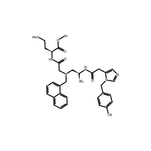 CC[C@H](C)[C@@H](CN(CC(=O)N[C@@H](CCSC)C(=O)OC(C)C)Cc1cccc2ccccc12)NC(=O)Cc1cncn1Cc1ccc(C#N)cc1